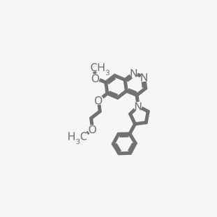 COCCOc1cc2c(N3CCC(c4ccccc4)C3)cnnc2cc1OC